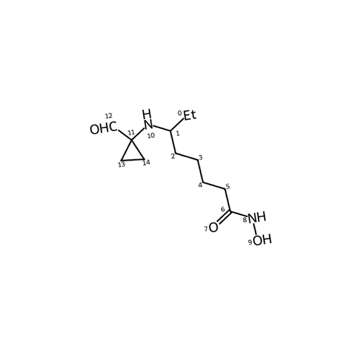 CCC(CCCCC(=O)NO)NC1(C=O)CC1